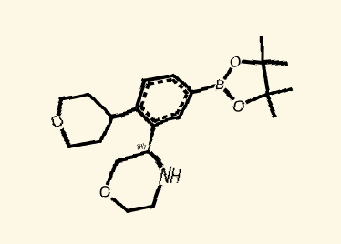 CC1(C)OB(c2ccc(C3CCOCC3)c([C@@H]3COCCN3)c2)OC1(C)C